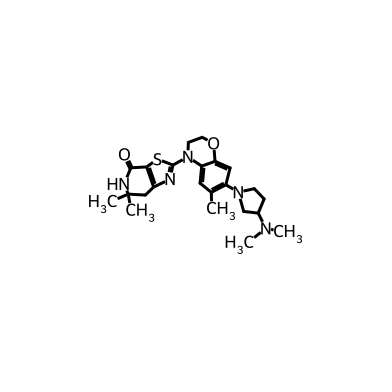 Cc1cc2c(cc1N1CCC(N(C)C)C1)OCCN2c1nc2c(s1)C(=O)NC(C)(C)C2